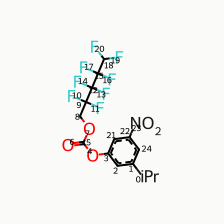 CC(C)c1cc(OC(=O)OCC(F)(F)C(F)(F)C(F)(F)C(F)F)cc([N+](=O)[O-])c1